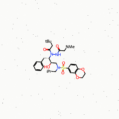 CNCC(=O)NN(C(=O)CC(C)(C)C)[C@@H](Cc1ccccc1)[C@H](O)CN(CC(C)C)S(=O)(=O)c1ccc2c(c1)OCCO2